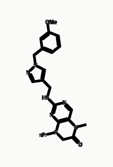 CCCN1CC(=O)N(C)c2cnc(NCc3cnn(Cc4cccc(OC)c4)c3)nc21